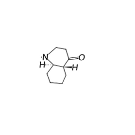 O=C1CC[N][C@@H]2CCCC[C@@H]12